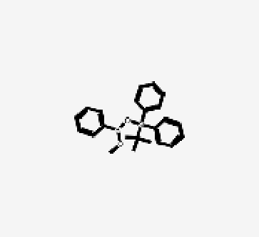 COB(O[Si](c1ccccc1)(c1ccccc1)C(C)(C)C)c1ccccc1